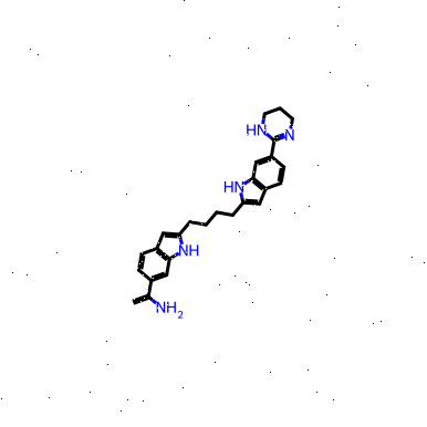 C=C(N)c1ccc2cc(CCCCc3cc4ccc(C5=NCCCN5)cc4[nH]3)[nH]c2c1